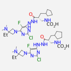 CCC1(N(C)C)CN(c2nc(Cl)nc(NNC(=O)[C@@H](CNC(=O)O)CC3CCCC3)c2F)C1.CCC1(N(C)C)CN(c2nc(Cl)nc(NNC(=O)[C@@H](CNC(=O)O)CC3CCCC3)c2F)C1